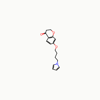 O=C1CCOc2cc(OCCCCn3cccc3)ccc21